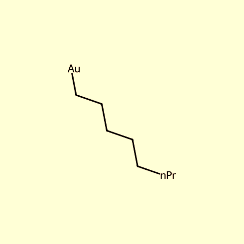 CCCCCCC[CH2][Au]